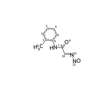 Cc1ccccc1NC(=O)/C=N/N=O